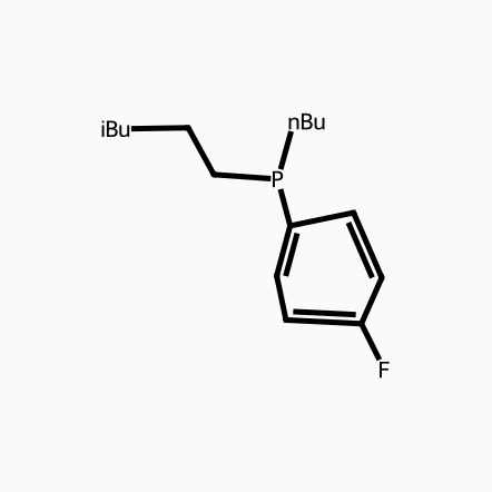 CCCCP(CCC(C)CC)c1ccc(F)cc1